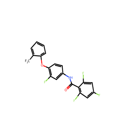 O=C(Nc1ccc(Oc2ccccc2C(F)(F)F)c(F)c1)c1c(F)cc(F)cc1F